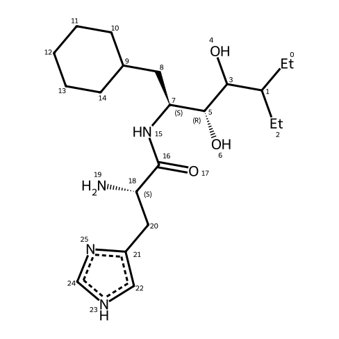 CCC(CC)C(O)[C@H](O)[C@H](CC1CCCCC1)NC(=O)[C@@H](N)Cc1c[nH]cn1